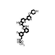 CS(=O)(=O)NCc1cc(F)cc(-c2cccc3[nH]c(-c4n[nH]c5ccc(-c6cncc(OC7CCNCC7)c6)nc45)nc23)c1